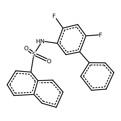 O=S(=O)(Nc1cc(-c2ccccc2)c(F)cc1F)c1cccc2ccccc12